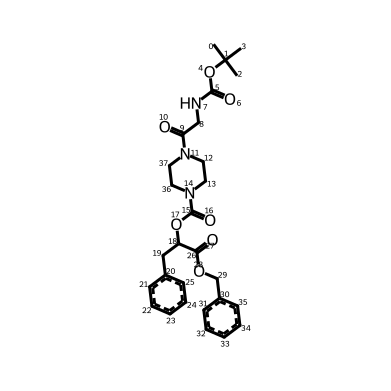 CC(C)(C)OC(=O)NCC(=O)N1CCN(C(=O)OC(Cc2ccccc2)C(=O)OCc2ccccc2)CC1